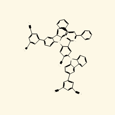 N#Cc1cc(C#N)cc(-c2ccc3c(c2)c2ccccc2n3-c2cc(-c3nc(-c4ccccc4)cc(-c4ccccc4)n3)c(-n3c4ccccc4c4cc(-c5cc(C#N)cc(C#N)c5)ccc43)cc2C#N)c1